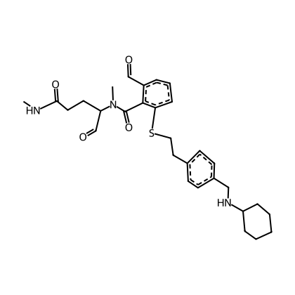 CNC(=O)CCC(C=O)N(C)C(=O)c1c(C=O)cccc1SCCc1ccc(CNC2CCCCC2)cc1